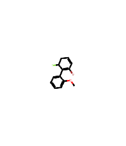 COc1ccccc1C1=C(Br)C=CCC1F